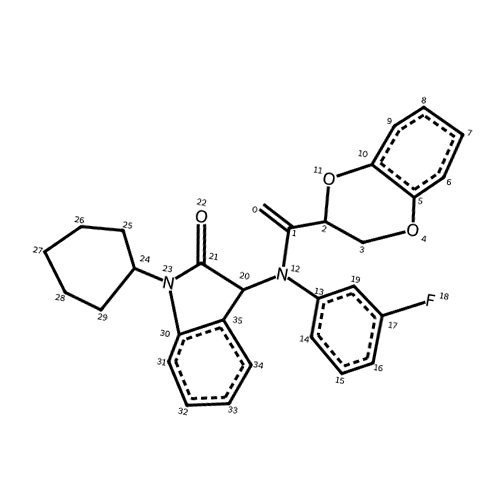 C=C(C1COc2ccccc2O1)N(c1cccc(F)c1)C1C(=O)N(C2CCCCC2)c2ccccc21